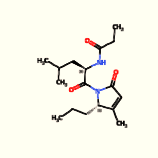 CCC[C@H]1C(C)=CC(=O)N1C(=O)[C@@H](CC(C)C)NC(=O)CC